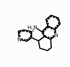 Nc1c2c(nc3ccccc13)CCCC2c1cccnc1